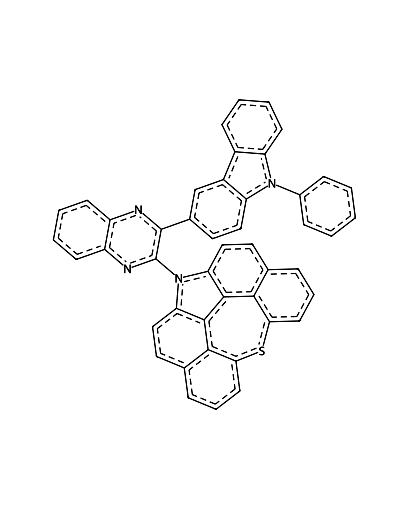 c1ccc(-n2c3ccccc3c3cc(-c4nc5ccccc5nc4-n4c5ccc6cccc7sc8cccc9ccc4c(c98)c5c67)ccc32)cc1